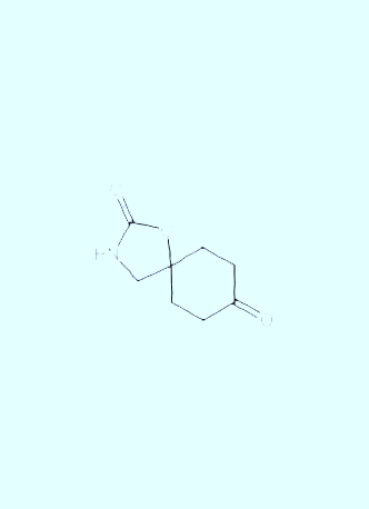 O=C1CCC2(CC1)CNC(=O)O2